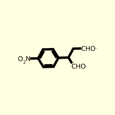 O=[C]CC([C]=O)c1ccc([N+](=O)[O-])cc1